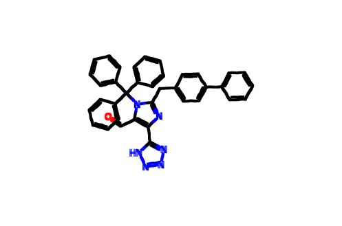 O=Cc1c(-c2nnn[nH]2)nc(Cc2ccc(-c3ccccc3)cc2)n1C(c1ccccc1)(c1ccccc1)c1ccccc1